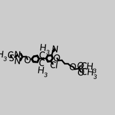 COC(COCCCCCOc1c(Cl)cc(C(C)(C)c2ccc(OCc3cnc(SC)nc3)cc2)cc1C#N)OC